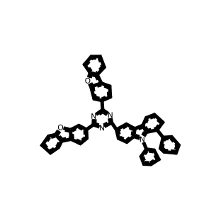 c1ccc(-c2cccc3c4cc(-c5nc(-c6ccc7c(c6)oc6ccccc67)nc(-c6ccc7c(c6)oc6ccccc67)n5)ccc4n(-c4ccccc4)c23)cc1